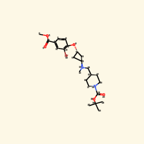 COC(=O)c1ccc(O[C@H]2C[C@H](N(C)CC3CCN(C(=O)OC(C)(C)C)CC3)C2)c(Br)c1